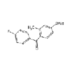 COc1ccc(C(=O)c2ccc(F)cc2)c(C)c1